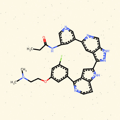 CCC(=O)Nc1cncc(-c2cc3c(-c4cc5c(-c6cc(F)cc(OCCN(C)C)c6)nccc5[nH]4)n[nH]c3cn2)c1